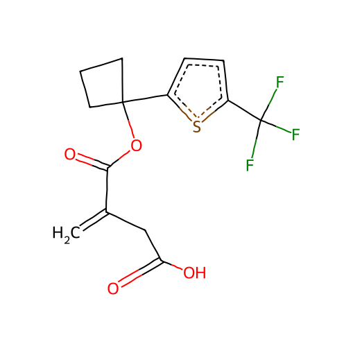 C=C(CC(=O)O)C(=O)OC1(c2ccc(C(F)(F)F)s2)CCC1